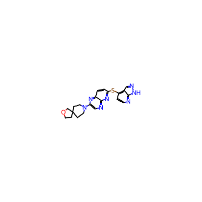 c1cc(Sc2ccc3nc(N4CCC5(CCOC5)CC4)cnc3n2)c2cn[nH]c2n1